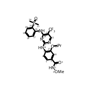 CONC(=O)c1ccc(Nc2ncc(C(F)(F)F)c(Nc3ccccc3P(C)(C)=O)n2)c(OC(C)C)c1